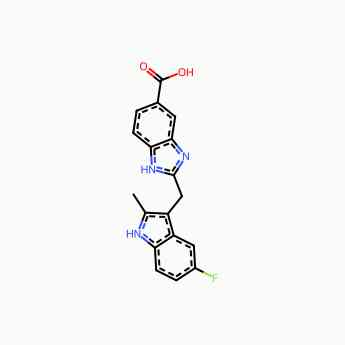 Cc1[nH]c2ccc(F)cc2c1Cc1nc2cc(C(=O)O)ccc2[nH]1